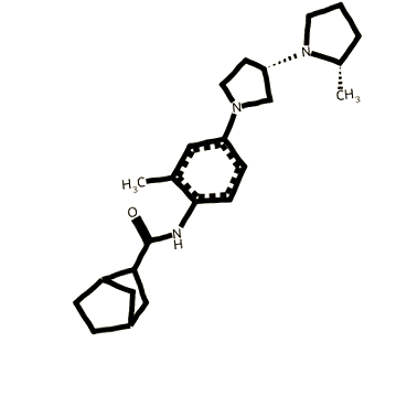 Cc1cc(N2CC[C@H](N3CCC[C@@H]3C)C2)ccc1NC(=O)C1CC2CCC1C2